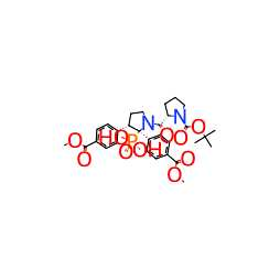 COC(=O)c1ccc([C@@H]2CCN(C(=O)[C@@H]3CCCN3C(=O)OC(C)(C)C)[C@@]2(c2ccc(C(=O)OC)cc2)P(=O)(O)O)cc1